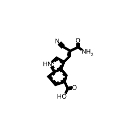 N#C/C(=C\c1c[nH]c2ccc(C(=O)O)cc12)C(N)=O